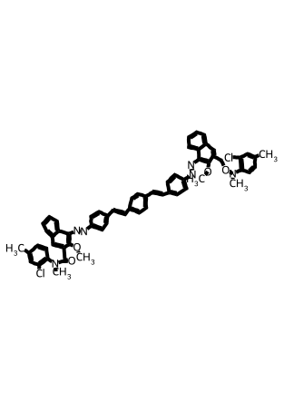 COc1c(CON(C)c2ccc(C)cc2Cl)cc2ccccc2c1N=Nc1ccc(C=Cc2ccc(C=Cc3ccc(N=Nc4c(OC)c(C(=O)N(C)c5ccc(C)cc5Cl)cc5ccccc45)cc3)cc2)cc1